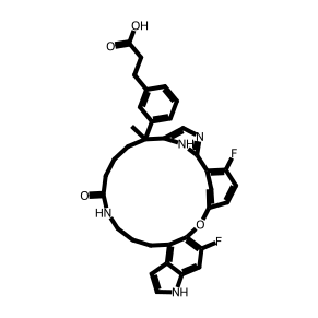 CC1(c2cccc(CCC(=O)O)c2)CCCC(=O)NCCCc2c(c(F)cc3[nH]ccc23)Oc2ccc(F)c(c2)-c2ncc1[nH]2